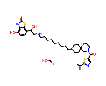 CC(C)c1ncc(C(=O)N2CCOC3(CCN(CCCCCCCCCNCC(O)c4ccc(O)c5[nH]c(=O)sc45)CC3)C2)s1.O=CO